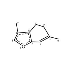 CC1=Cc2occ(C)c2CC1